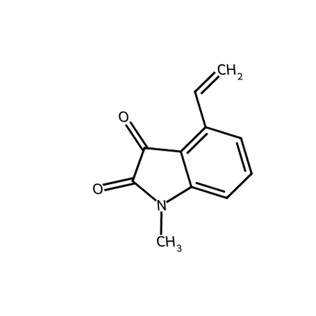 C=Cc1cccc2c1C(=O)C(=O)N2C